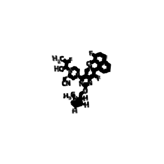 C=C(F)C(O)N1CCN(c2nc(OC[C@@H]3[C@H]4C5C([C@H]54)N3C)nc3c(F)c(-c4cccc5ccc(F)c(Cl)c45)ncc23)C[C@@H]1CC#N